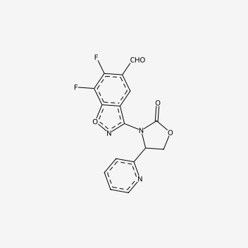 O=Cc1cc2c(N3C(=O)OCC3c3ccccn3)noc2c(F)c1F